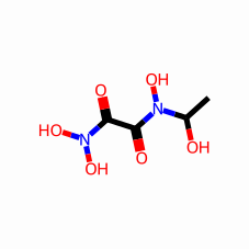 CC(O)N(O)C(=O)C(=O)N(O)O